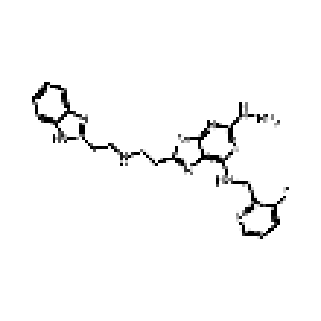 NNc1nc(NCc2ncccc2F)c2nc(CCNCCc3nc4ccccc4[nH]3)sc2n1